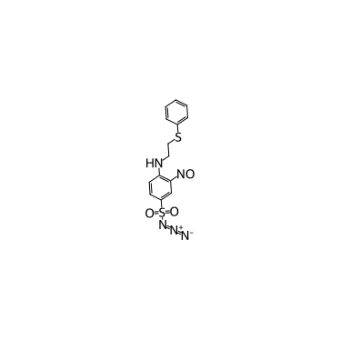 [N-]=[N+]=NS(=O)(=O)c1ccc(NCCSc2ccccc2)c(N=O)c1